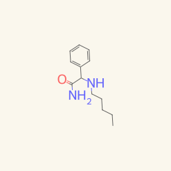 CCCCCNC(C(N)=O)c1ccccc1